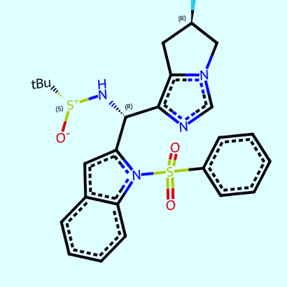 CC(C)(C)[S@@+]([O-])N[C@H](c1ncn2c1C[C@@H](F)C2)c1cc2ccccc2n1S(=O)(=O)c1ccccc1